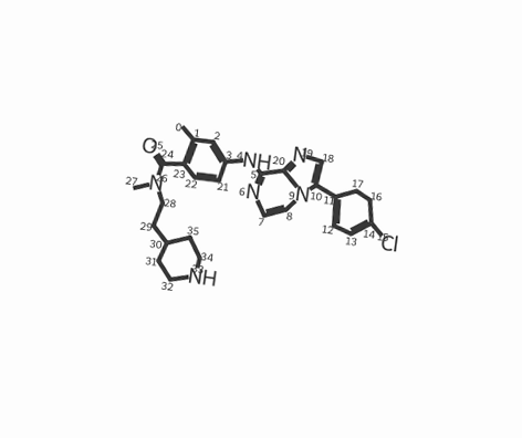 Cc1cc(Nc2nccn3c(C4=CC=C(Cl)CC4)cnc23)ccc1C(=O)N(C)CCC1CCNCC1